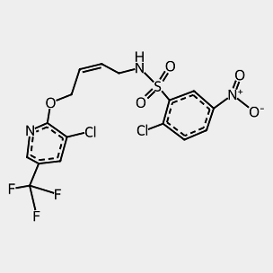 O=[N+]([O-])c1ccc(Cl)c(S(=O)(=O)NC/C=C\COc2ncc(C(F)(F)F)cc2Cl)c1